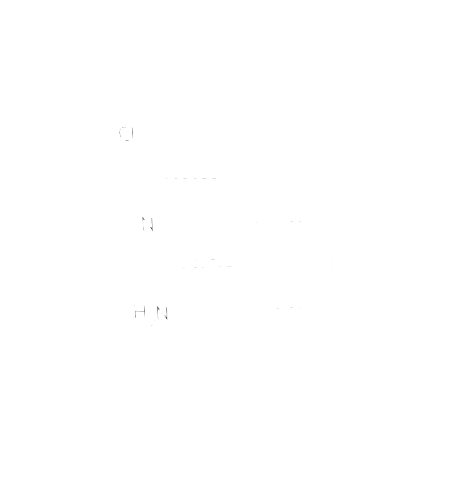 Nc1nc(Cl)cc2c1CCCC2